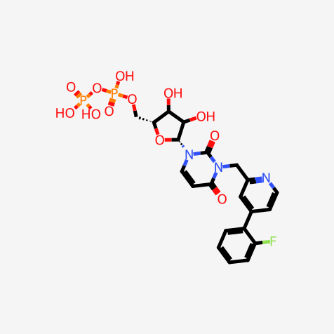 O=c1ccn([C@@H]2O[C@H](COP(=O)(O)OP(=O)(O)O)C(O)C2O)c(=O)n1Cc1cc(-c2ccccc2F)ccn1